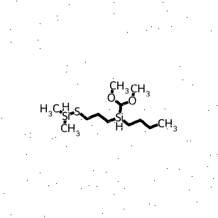 CCCC[SiH](CCCS[SiH](C)C)C(OC)OC